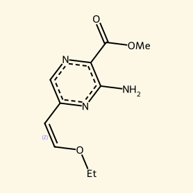 CCO/C=C\c1cnc(C(=O)OC)c(N)n1